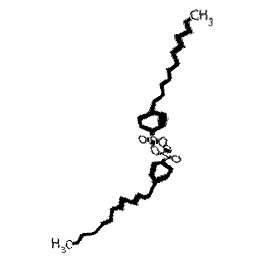 CCCCCCCCCCCCc1ccc(S(=O)(=O)OS(=O)(=O)c2ccc(CCCCCCCCCCCC)cc2)cc1